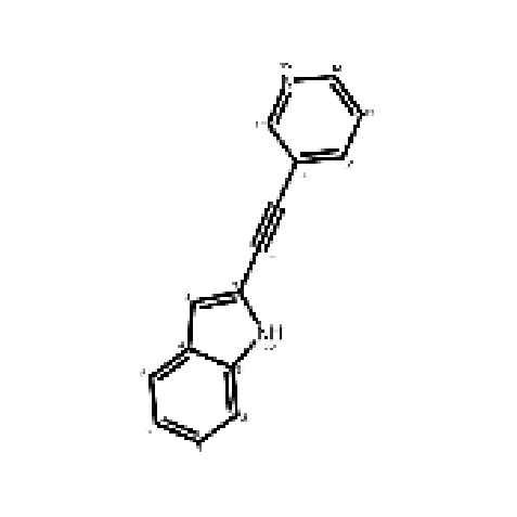 C(#Cc1cc2ccccc2[nH]1)c1cccnc1